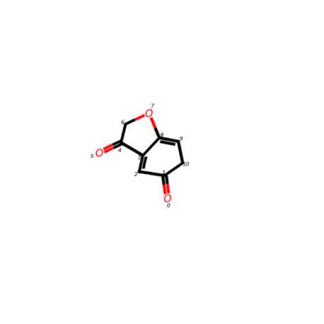 O=C1C=C2C(=O)COC2=CC1